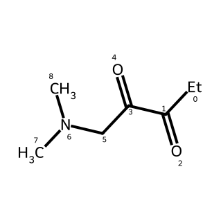 CCC(=O)C(=O)CN(C)C